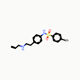 C=CCNCCc1ccc(NS(=O)(=O)c2ccc(C(C)C)cc2)cc1